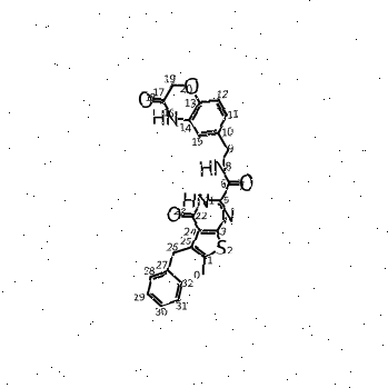 Cc1sc2nc(C(=O)NCc3ccc4c(c3)NC(=O)CO4)[nH]c(=O)c2c1Cc1ccccc1